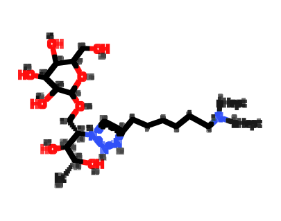 CCCCCCCN(CCCCCCC)CCCCCCc1cn([C@@H](COC2OC(CO)C(O)C(O)C2O)[C@H](O)[C@H](O)CC)nn1